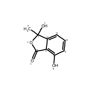 CC1(O)OC(=O)c2c(O)cccc21